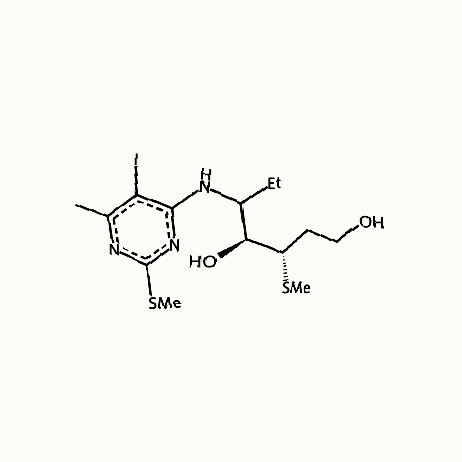 CCC(Nc1nc(SC)nc(C)c1I)[C@H](O)[C@H](CCO)SC